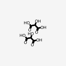 O=C(O)C(O)C(=O)O.O=C(O)C(O)C(=O)O